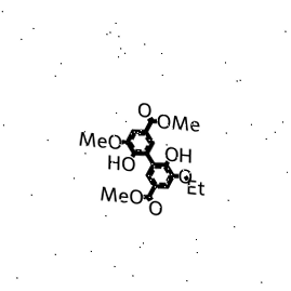 CCOc1cc(C(=O)OC)cc(-c2cc(C(=O)OC)cc(OC)c2O)c1O